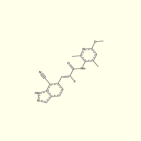 COc1cc(C)c(NC(=O)/C(F)=C/c2ccc3cn[nH]c3c2C#N)c(C)n1